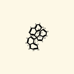 C1=CC(c2cccc3ccccc23)(c2cccc3ccccc23)c2ccccc21